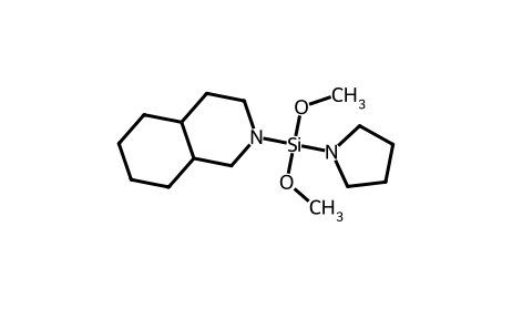 CO[Si](OC)(N1CCCC1)N1CCC2CCCCC2C1